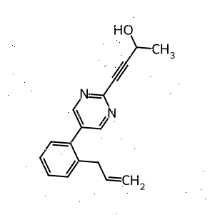 C=CCc1ccccc1-c1cnc(C#CC(C)O)nc1